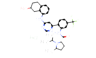 CC(C)N1C(C)CC[C@H]1C(=O)Nc1cc(C(F)(F)F)ccc1-c1cc(Nc2cccc3c2CC(O)CC3)ncn1.Cl